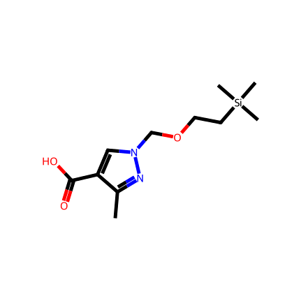 Cc1nn(COCC[Si](C)(C)C)cc1C(=O)O